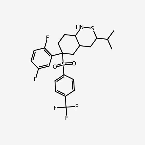 CC(C)C1CC2CC(c3cc(F)ccc3F)(S(=O)(=O)c3ccc(C(F)(F)F)cc3)CCC2NS1